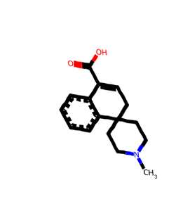 CN1CCC2(CC=C(C(=O)O)c3ccccc32)CC1